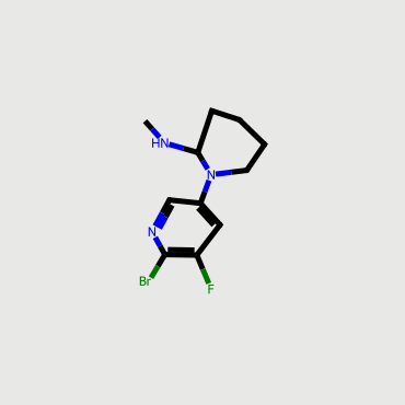 CNC1CCCCN1c1cnc(Br)c(F)c1